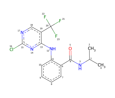 CC(C)NC(=O)c1ccccc1Nc1nc(Cl)ncc1C(F)(F)F